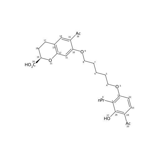 CCCc1c(OCCCCCOc2cc3c(cc2C(C)=O)CC[C@H](C(=O)O)O3)ccc(C(C)=O)c1O